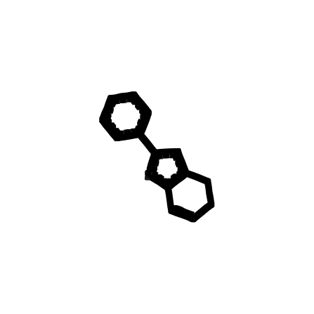 C1=Cc2sc(-c3ccccc3)cc2CC1